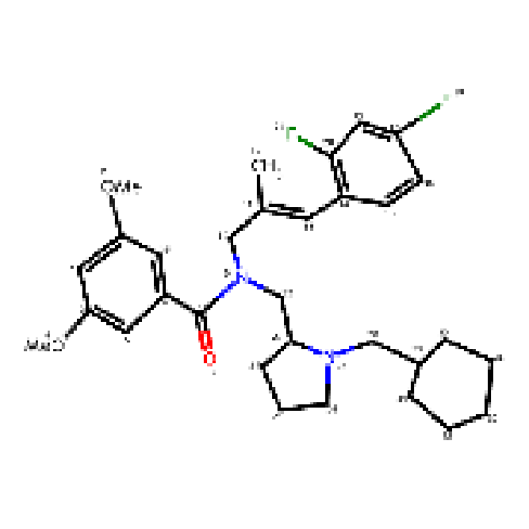 COc1cc(OC)cc(C(=O)N(CC(C)=Cc2ccc(F)cc2F)CC2CCCN2CC2CCCCC2)c1